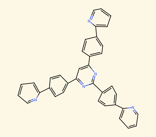 c1ccc(-c2ccc(-c3cc(-c4ccc(-c5ccccn5)cc4)nc(-c4ccc(-c5ccccn5)cc4)n3)cc2)nc1